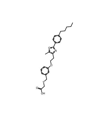 CCCCCc1ccc(-c2nc(CCOc3cccc(CSCC(=O)O)c3)c(C)o2)cc1